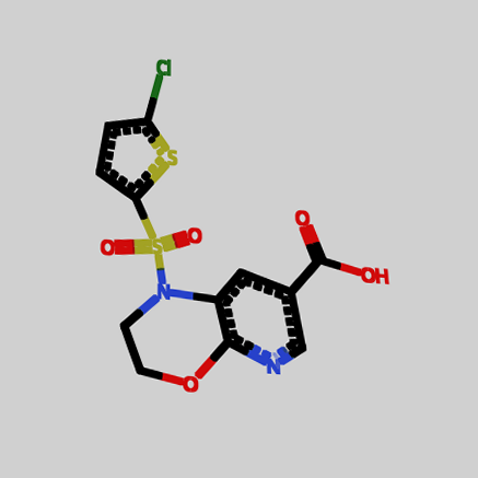 O=C(O)c1cnc2c(c1)N(S(=O)(=O)c1ccc(Cl)s1)CCO2